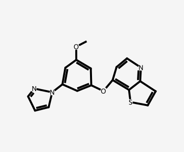 COc1cc(Oc2ccnc3ccsc23)cc(-n2cccn2)c1